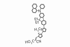 CCC1(CC)c2cc(-c3ccc(-c4ccc(/C=C(\C#N)C(=O)O)s4)n3C)ccc2-c2ccc(N(c3ccccc3)c3cccc4ccccc34)cc21